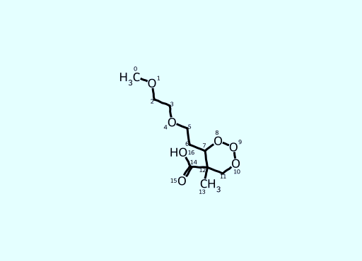 COCCOCCC1OOOCC1(C)C(=O)O